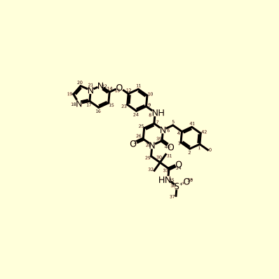 Cc1ccc(Cn2c(Nc3ccc(Oc4ccc5nccn5n4)cc3)cc(=O)n(CC(C)(C)C(=O)N[S+](C)[O-])c2=O)cc1